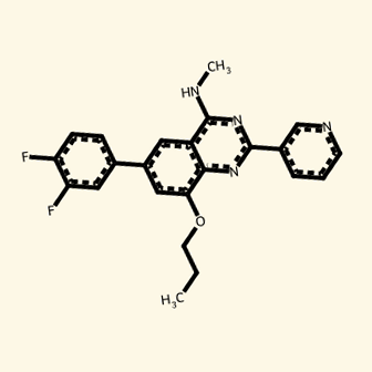 CCCOc1cc(-c2ccc(F)c(F)c2)cc2c(NC)nc(-c3cccnc3)nc12